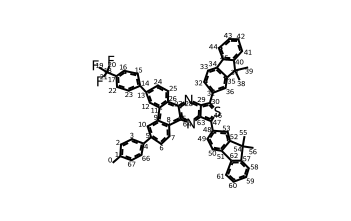 Cc1ccc(-c2ccc3c(c2)c2cc(-c4ccc(C(F)(F)F)cc4)ccc2c2nc4c(-c5ccc6c(c5)C(C)(C)c5ccccc5-6)sc(-c5ccc6c(c5)C(C)(C)c5ccccc5-6)c4nc32)cc1